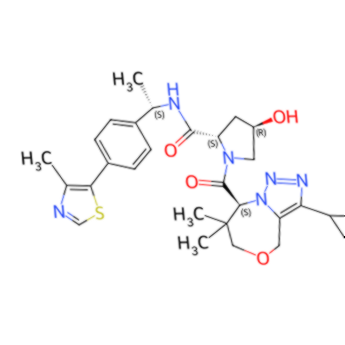 Cc1ncsc1-c1ccc([C@H](C)NC(=O)[C@@H]2C[C@@H](O)CN2C(=O)[C@H]2n3nnc(C4CC4)c3COCC2(C)C)cc1